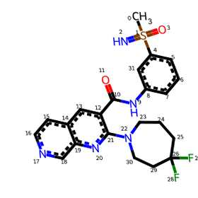 CS(=N)(=O)c1cccc(NC(=O)c2cc3ccncc3nc2N2CCCC(F)(F)CC2)c1